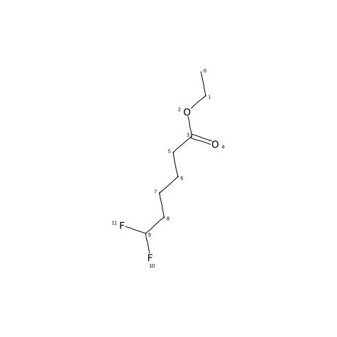 CCOC(=O)CCCCC(F)F